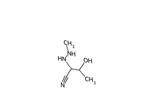 CNNC(C#N)C(C)O